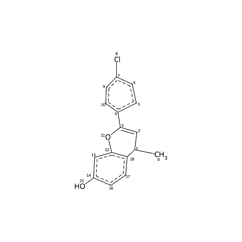 CC1C=C(c2ccc(Cl)cc2)Oc2cc(O)ccc21